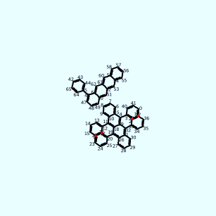 c1ccc(-c2c3ccccc3c(-c3ccccc3)c3c(-c4ccccc4)c4ccccc4c(-c4ccccc4)c23)cc1.c1ccc(-c2cccc3cc4cc5ccccc5cc4cc23)cc1